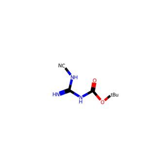 CC(C)(C)OC(=O)NC(=N)NC#N